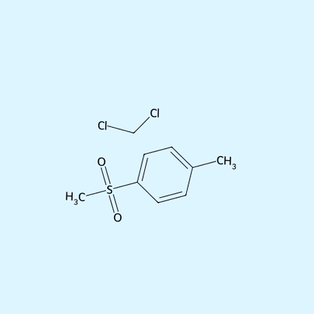 Cc1ccc(S(C)(=O)=O)cc1.ClCCl